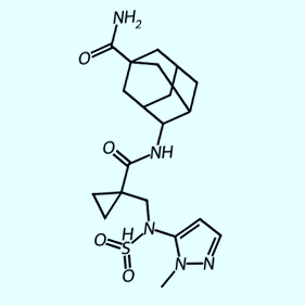 Cn1nccc1N(CC1(C(=O)NC2C3CC4CC2CC(C(N)=O)(C4)C3)CC1)[SH](=O)=O